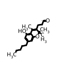 CCCCCc1cc(O)c2c(c1)OC(C)(C)C(CC[C]=O)=C2C